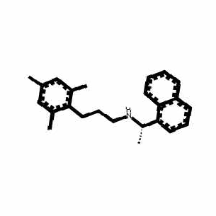 Cc1cc(C)c(CCCN[C@@H](C)c2cccc3ccccc23)c(C)c1